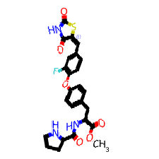 COC(=O)C(Cc1ccc(Oc2ccc(/C=C3/SC(=O)NC3=O)cc2F)cc1)NC(=O)C1CCCN1